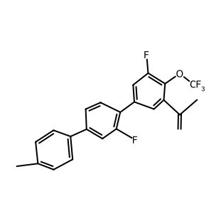 C=C(C)c1cc(-c2ccc(-c3ccc(C)cc3)cc2F)cc(F)c1OC(F)(F)F